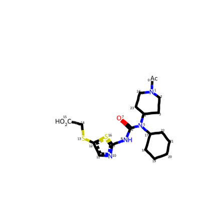 CC(=O)N1CCC(N(C(=O)Nc2ncc(SCC(=O)O)s2)C2CCCCC2)CC1